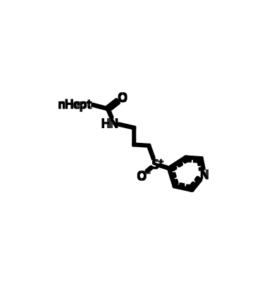 CCCCCCCC(=O)NCCC[S+]([O-])c1ccncc1